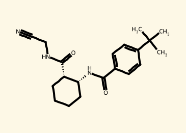 CC(C)(C)c1ccc(C(=O)N[C@@H]2CCCC[C@@H]2C(=O)NCC#N)cc1